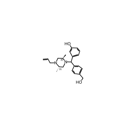 C=CCN1C[C@@H](C)N(C(c2ccc(CO)cc2)c2cccc(O)c2)C[C@@H]1C